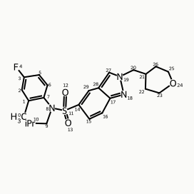 Cc1cc(F)ccc1N(CC(C)C)S(=O)(=O)c1ccc2nn(CC3CCOCC3)cc2c1